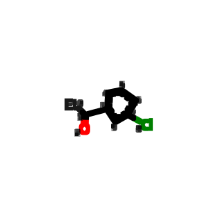 CCC(=O)c1cc[c]c(Cl)c1